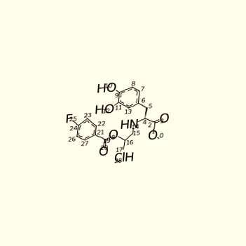 COC(=O)[C@H](Cc1ccc(O)c(O)c1)NCC(C)OC(=O)c1ccc(F)cc1.Cl